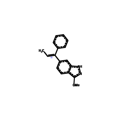 C/C=C(\c1ccccc1)c1ccc2c(OC)n[nH]c2c1